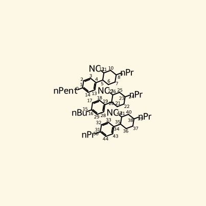 CCCCCc1ccc(C2CCC(CCC)CC2C#N)cc1.CCCCc1ccc(C2CCC(CCC)CC2C#N)cc1.CCCc1ccc(C2CCC(CCC)CC2C#N)cc1